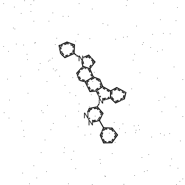 c1ccc(-c2cc(-n3c4ccccc4c4cc5c(ccc6c5ccn6-c5ccccc5)cc43)cnn2)cc1